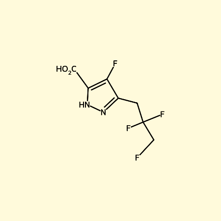 O=C(O)c1[nH]nc(CC(F)(F)CF)c1F